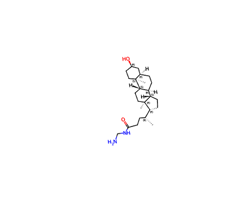 C[C@H](CCC(=O)NCN)[C@H]1CC[C@H]2[C@@H]3CC[C@@H]4C[C@H](O)CC[C@]4(C)[C@H]3CC[C@]12C